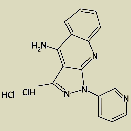 Cc1nn(-c2cccnc2)c2nc3ccccc3c(N)c12.Cl.Cl